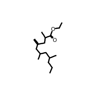 C=C(CC(C)CC(C)CCC)CC(C)C(=O)OCC